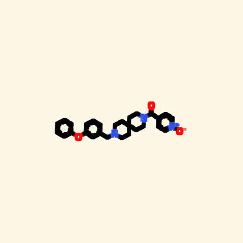 O=C(c1cc[n+]([O-])cc1)N1CCC2(CCN(Cc3cccc(Oc4ccccc4)c3)CC2)CC1